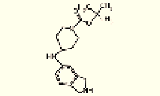 CC(C)(C)OC(=O)N1CCC(Nc2ccc3c(c2)CNC3)CC1